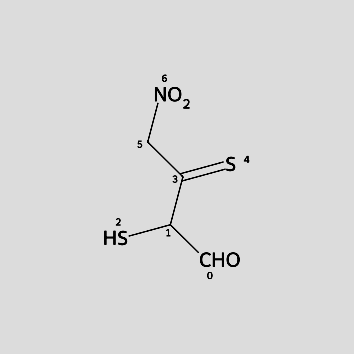 O=CC(S)C(=S)C[N+](=O)[O-]